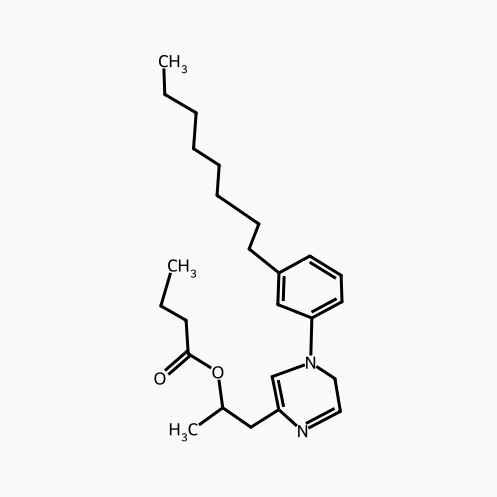 CCCCCCCCc1cccc(N2C=C(CC(C)OC(=O)CCC)N=CC2)c1